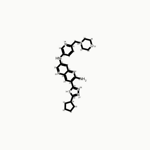 Nc1nc2cc(Nc3ccc(CN4CCOCC4)nc3)cnc2cc1-c1nnc(C2CCCC2)s1